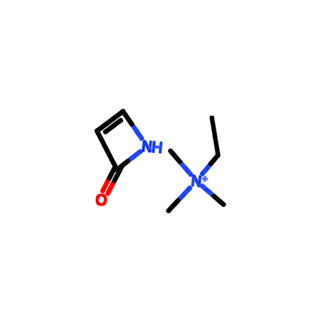 CC[N+](C)(C)C.O=C1C=CN1